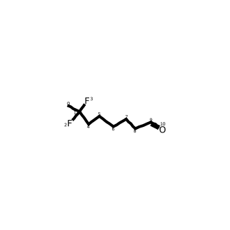 CC(F)(F)CCCCCC=O